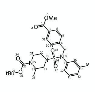 COC(=O)c1ccc(CN(c2cccc(C)c2)S(=O)(=O)N2CCN(C(=O)OC(C)(C)C)C(C)C2)nc1